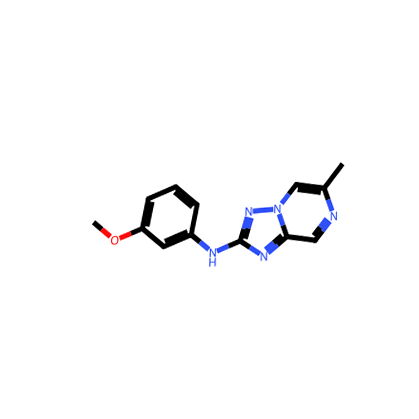 COc1cccc(Nc2nc3cnc(C)cn3n2)c1